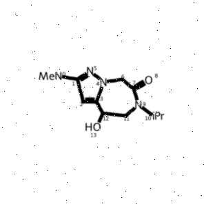 CNc1cc2n(n1)CC(=O)N(C(C)C)CC2O